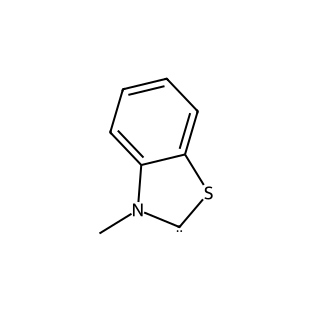 CN1[C]Sc2ccccc21